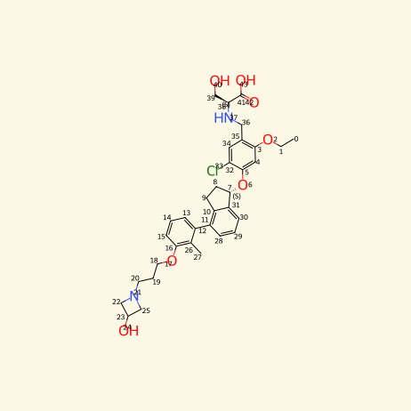 CCOc1cc(O[C@H]2CCc3c(-c4cccc(OCCCN5CC(O)C5)c4C)cccc32)c(Cl)cc1CN[C@@H](CO)C(=O)O